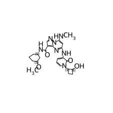 CNc1cc(Nc2cccn([C@H]3CC[C@@H]3O)c2=O)nc2c(C(=O)N[C@H]3CCC[C@H](OC)C3)cnn12